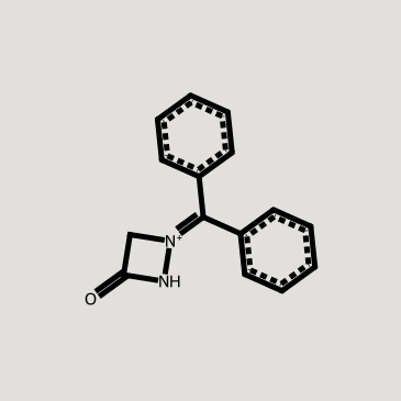 O=C1C[N+](=C(c2ccccc2)c2ccccc2)N1